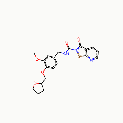 COc1cc(CNC(=O)n2sc3ncccc3c2=O)ccc1OCC1CCCO1